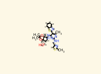 Cc1nc(CNc2nc(C)c(-c3nc4ccccc4s3)c(N[C@@H]3C[C@H](CO)[C@H]4OC(C)(C)O[C@H]43)n2)cs1